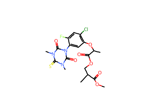 COC(=O)C(C)COC(=O)C(C)Oc1cc(-n2c(=O)n(C)c(=S)n(C)c2=O)c(F)cc1Cl